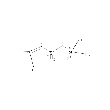 CC(C)=C[SiH2]C[Si](C)(C)I